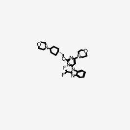 FC(F)c1nc2ccccc2n1-c1cc(N2CCOCC2)nc(OC[C@H]2CC[C@H](N3CCOCC3)CC2)n1